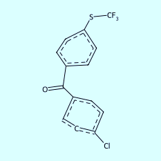 O=C(c1ccc(Cl)cc1)c1ccc(SC(F)(F)F)cc1